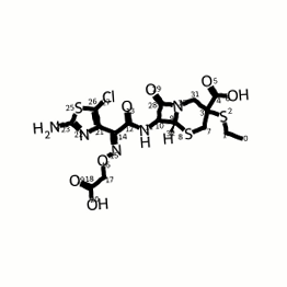 CCSC1(C(=O)O)CS[C@@H]2C(NC(=O)C(=NOCC(=O)O)c3nc(N)sc3Cl)C(=O)N2C1